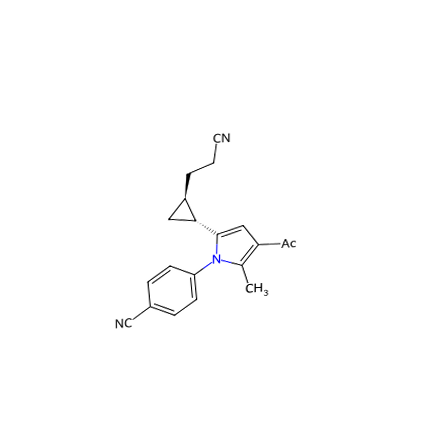 CC(=O)c1cc([C@@H]2C[C@H]2CCC#N)n(-c2ccc(C#N)cc2)c1C